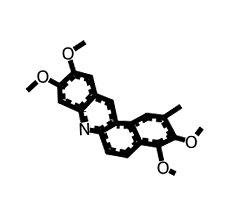 COc1cc2cc3c(ccc4c(OC)c(OC)c(C)cc43)nc2cc1OC